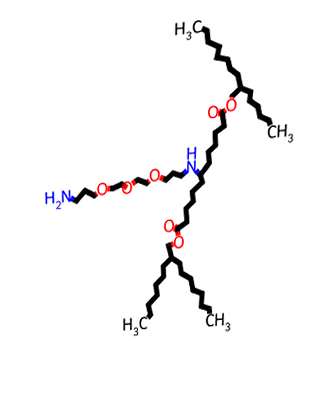 CCCCCCCCC(CCCCCC)COC(=O)CCCCCC(CCCCCC(=O)OCC(CCCCCCC)CCCCCCCC)NCCCOCCOCCOCCCN